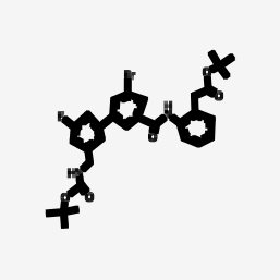 CC(C)(C)OC(=O)Cc1ccccc1NC(=O)c1cc(Br)cc(-c2cc(F)cc(CNC(=O)OC(C)(C)C)c2)c1